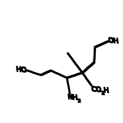 CC(CCO)(C(=O)O)C(N)CCO